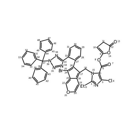 CCc1nc(Cl)c(C(=O)OC2=CCC(=O)O2)n1Cc1c2ccocc-2c(Br)c1-c1ccccc1-c1nnn(C(c2ccccc2)(c2ccccc2)c2ccccc2)n1